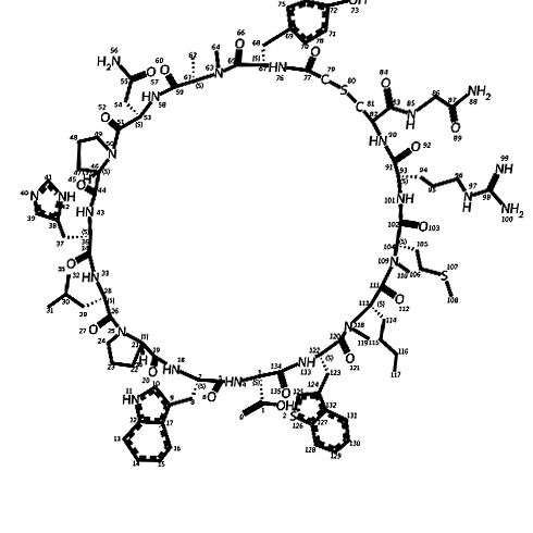 C=C(O)[C@@H]1NC(=O)[C@H](Cc2c[nH]c3ccccc23)NC(=O)[C@@H]2CCCN2C(=O)[C@H](CC(C)C)NC(=O)[C@H](Cc2cnc[nH]2)NC(=O)[C@@H]2CCCN2C(=O)[C@H](CC(N)=O)NC(=O)[C@H](C)N(C)C(=O)[C@H](Cc2ccc(O)cc2)NC(=O)CSCC(C(=O)NCC(N)=O)NC(=O)[C@H](CCCNC(=N)N)NC(=O)[C@H](CCSC)N(C)C(=O)[C@H](CCCC)N(C)C(=O)[C@H](Cc2csc3ccccc23)NC1=O